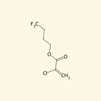 C=C(Cl)C(=O)OCCCC(F)(F)F